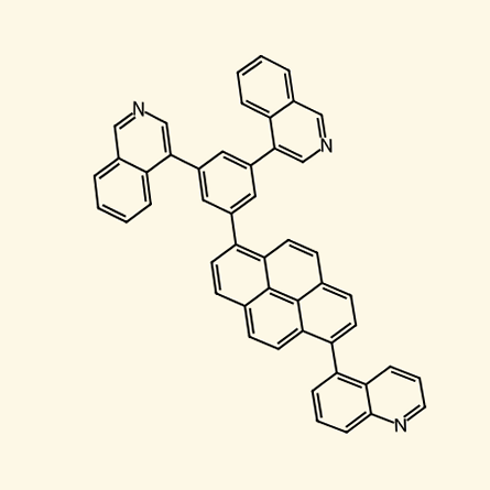 c1ccc2c(-c3cc(-c4cncc5ccccc45)cc(-c4ccc5ccc6c(-c7cccc8ncccc78)ccc7ccc4c5c76)c3)cncc2c1